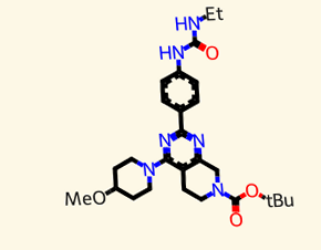 CCNC(=O)Nc1ccc(-c2nc3c(c(N4CCC(OC)CC4)n2)CCN(C(=O)OC(C)(C)C)C3)cc1